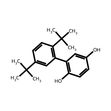 CC(C)(C)c1ccc(C(C)(C)C)c(-c2cc(O)ccc2O)c1